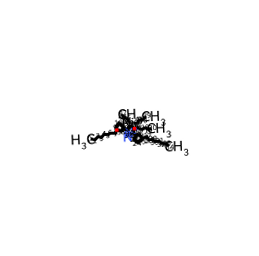 CCCCCCCCc1cccc(C2=CC(CCCCC)=C(c3cccc(CCCCCCCC)c3)[N+]2=[N-])c1.CCC[CH2][Ni][CH2]CCC